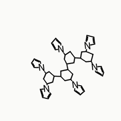 c1ccn(C2CC(C3CC(C4CC(n5cccc5)CC(n5cccc5)C4)CC(n4cccc4)C3)CC(C3CC(n4cccc4)CC(n4cccc4)C3)C2)c1